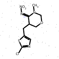 CN1COCC(Cc2cnc(Cl)s2)/C1=N/[N+](=O)[O-]